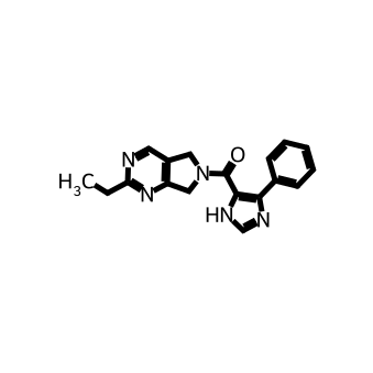 CCc1ncc2c(n1)CN(C(=O)c1[nH]cnc1-c1ccccc1)C2